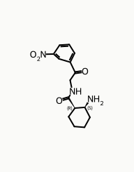 N[C@H]1CCCC[C@H]1C(=O)NCC(=O)c1cccc([N+](=O)[O-])c1